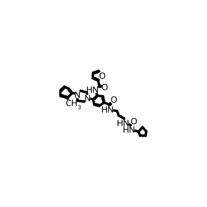 Cc1ccccc1N1CCN(c2ccc(C(=O)NCCCNC(=O)NC3CCCC3)cc2NC(=O)c2ccco2)CC1